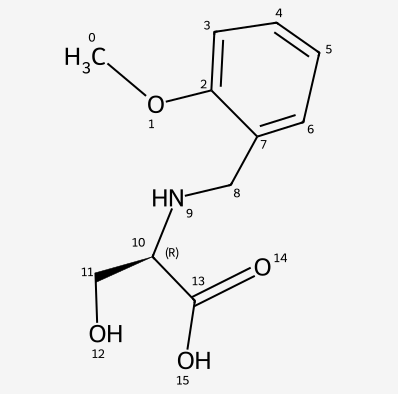 COc1ccccc1CN[C@H](CO)C(=O)O